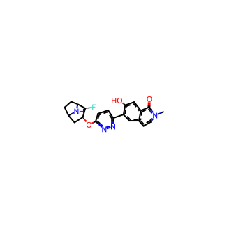 Cn1ccc2cc(-c3ccc(O[C@H]4CC5CCC(N5)[C@H]4F)nn3)c(O)cc2c1=O